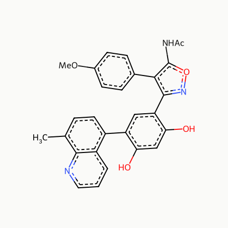 COc1ccc(-c2c(-c3cc(-c4ccc(C)c5ncccc45)c(O)cc3O)noc2NC(C)=O)cc1